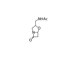 CC(=O)NCC1CN2C(=O)CC2O1